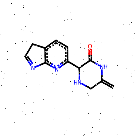 C=C1CNC(c2ccc3c(n2)N=CC3)C(=O)N1